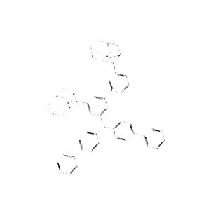 c1ccc(-c2ccc(N(c3ccc(-c4ccccc4)cc3)c3cc(-c4cccc(C5C6CC7CC(C6)CC5C7)c4)cc(C4C5CC6CC(C5)CC4C6)c3)cc2)cc1